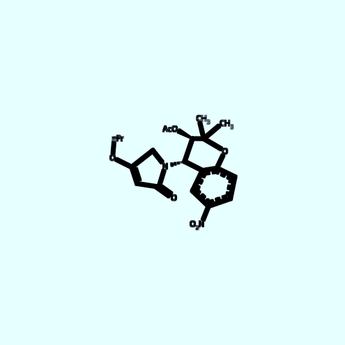 CCCOC1=CC(=O)N([C@H]2c3cc([N+](=O)[O-])ccc3OC(C)(C)[C@@H]2OC(C)=O)C1